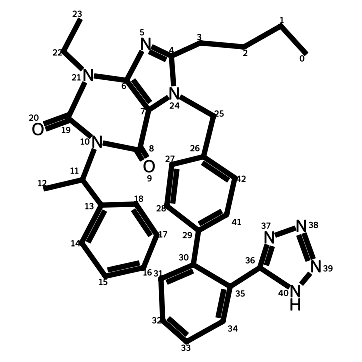 CCCCc1nc2c(c(=O)n(C(C)c3ccccc3)c(=O)n2CC)n1Cc1ccc(-c2ccccc2-c2nnn[nH]2)cc1